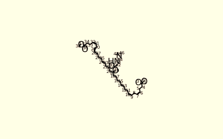 COC(=O)CC/C=C\C/C=C\CCCCCCCCC(CCCCCCCC/C=C\C/C=C\CCC(=O)OC)OC(=O)CNCN(C)C